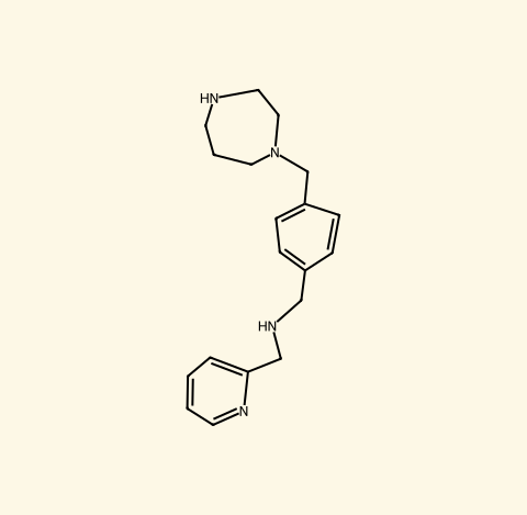 c1ccc(CNCc2ccc(CN3CCCNCC3)cc2)nc1